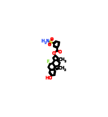 C=C[C@]12CC[C@]3(C)C[C@H](OC(=O)c4cccc(S(N)(=O)=O)c4)CC3C1[C@H](F)Cc1cc(O)ccc12